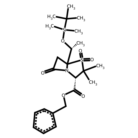 C[C@@H](O[Si](C)(C)C(C)(C)C)C12CC(=O)N1[C@@H](C(=O)OCc1ccccc1)C(C)(C)S2(=O)=O